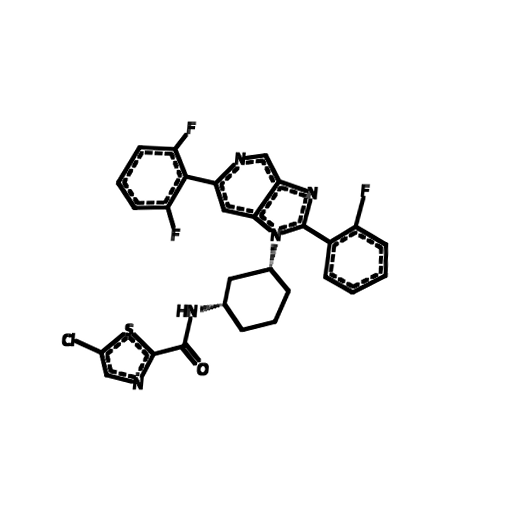 O=C(N[C@H]1CCC[C@@H](n2c(-c3ccccc3F)nc3cnc(-c4c(F)cccc4F)cc32)C1)c1ncc(Cl)s1